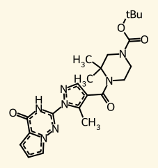 Cc1c(C(=O)N2CCN(C(=O)OC(C)(C)C)CC2(C)C)cnn1-c1nn2cccc2c(=O)[nH]1